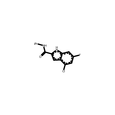 CC(C)NC(=O)c1cc2c(Cl)cc(F)cc2[nH]1